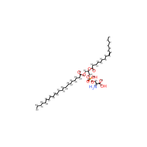 CCCCCC/C=C\CCCCCCCC(=O)O[C@H](COC(=O)CCCCCCCCCCCCCCCCCCCCC)COP(=O)(O)OC[C@H](N)C(=O)O